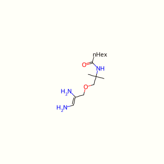 CCCCCCC(=O)NC(C)(C)COC/C(N)=C/N